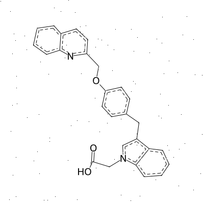 O=C(O)Cn1cc(Cc2ccc(OCc3ccc4ccccc4n3)cc2)c2ccccc21